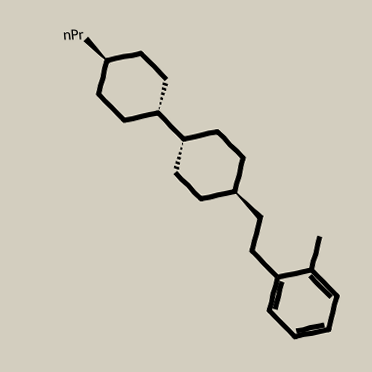 CCC[C@H]1CC[C@H]([C@H]2CC[C@H](CCc3ccccc3C)CC2)CC1